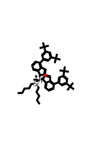 CCCCC[Si](CCCCC)=[Hf]([CH3])([CH3])([CH]1C=Cc2c(-c3cc(C(C)(C)C)cc(C(C)(C)C)c3)cccc21)[CH]1C=Cc2c(-c3cc(C(C)(C)C)cc(C(C)(C)C)c3)cccc21